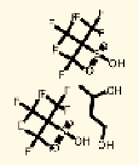 CC(O)CCO.O=S(=O)(O)C(C(F)(F)F)(C(F)(F)F)C(F)(F)F.O=S(=O)(O)C(C(F)(F)F)(C(F)(F)F)C(F)(F)F